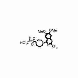 COc1cc2nc(C(F)(F)F)nc(N3CCCN(S(=O)(=O)NC(=O)O)CC3)c2cc1OC